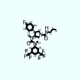 CCCNC(=O)N1C[C@@H](N(C)C(=O)N(C)c2cc(C(F)(F)F)cc(C(F)(F)F)c2)[C@H](c2ccc(F)cc2)C1